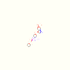 CCc1ccccc1OCC(=O)Nc1ccc(Oc2ccnc3cc(OC)c(OC)cc23)cc1